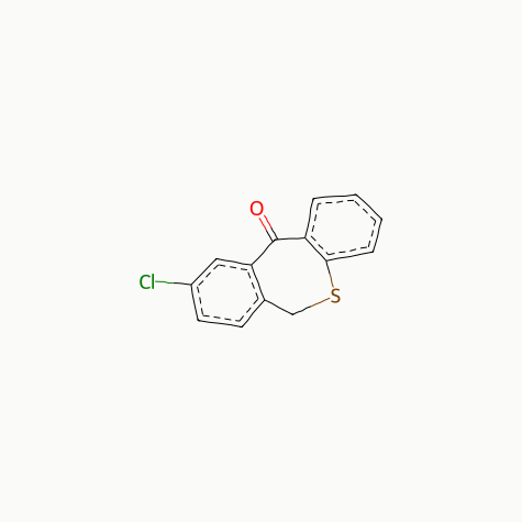 O=C1c2cc(Cl)ccc2CSc2ccccc21